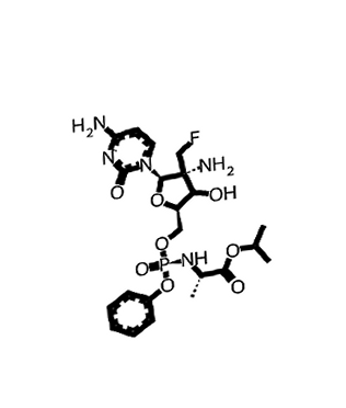 CC(C)OC(=O)[C@H](C)N[P@@](=O)(OC[C@H]1O[C@@H](n2ccc(N)nc2=O)[C@@](N)(CF)C1O)Oc1ccccc1